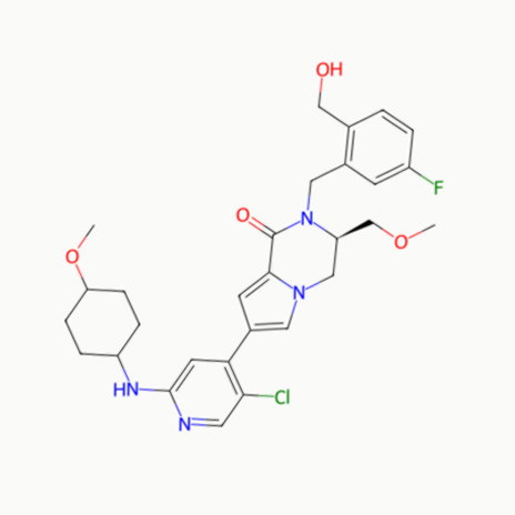 COC[C@H]1Cn2cc(-c3cc(NC4CCC(OC)CC4)ncc3Cl)cc2C(=O)N1Cc1cc(F)ccc1CO